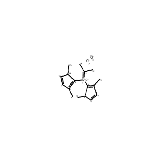 CC1=[C]([Zr+2]([C]2=C(C)C=CC2C)=[C](C)C)C(C)C=C1.[Cl-].[Cl-]